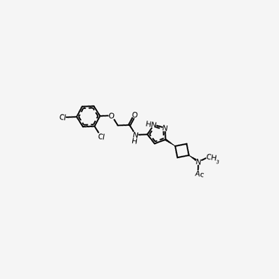 CC(=O)N(C)[C@H]1C[C@@H](c2cc(NC(=O)COc3ccc(Cl)cc3Cl)[nH]n2)C1